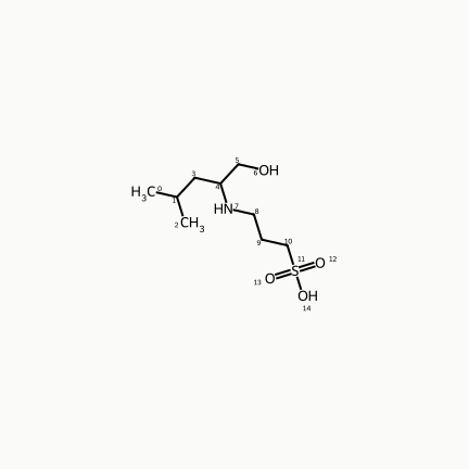 CC(C)CC(CO)NCCCS(=O)(=O)O